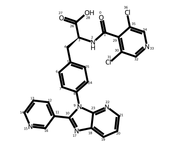 O=C(N[C@@H](Cc1ccc(-n2c(-c3cccnc3)nc3cccnc32)cc1)C(=O)O)c1c(Cl)cncc1Cl